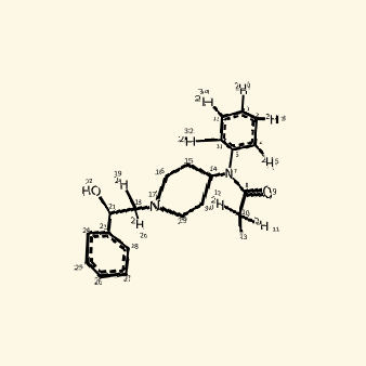 [2H]c1c([2H])c([2H])c(N(C(=O)C([2H])([2H])C)C2CCN(C([2H])([2H])C(O)c3ccccc3)CC2)c([2H])c1[2H]